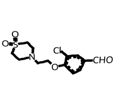 O=Cc1ccc(OCCN2CCS(=O)(=O)CC2)c(Cl)c1